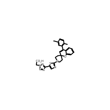 Cc1ccc(C)c(C2=CC3(CCN(c4ncc(-c5nnn(CC(=O)O)n5)s4)CC3)Oc3ccccc32)c1